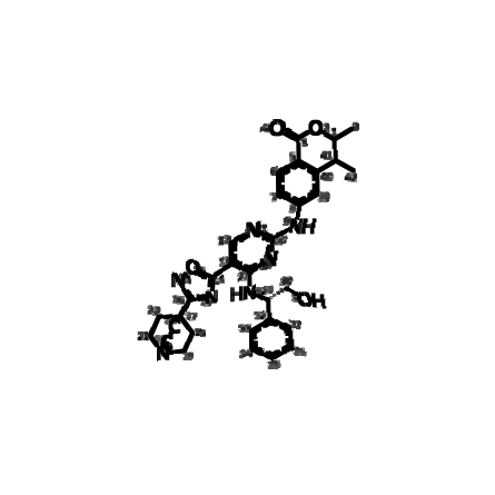 CC1OC(=O)c2ccc(Nc3ncc(-c4nc(C56CCN(CC5)CC6)no4)c(N[C@H](CO)c4ccccc4)n3)cc2C1C